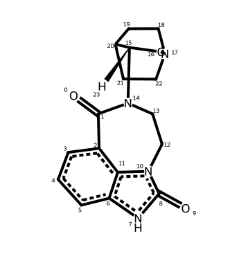 O=C1c2cccc3[nH]c(=O)n(c23)CCN1[C@H]1CN2CCC1CC2